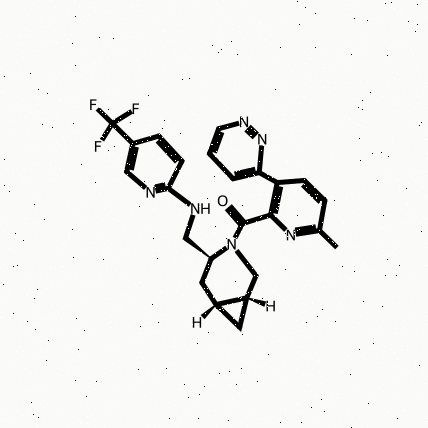 Cc1ccc(-c2cccnn2)c(C(=O)N2C[C@@H]3C[C@@H]3C[C@H]2CNc2ccc(C(F)(F)F)cn2)n1